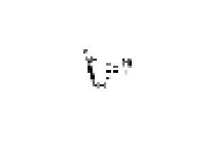 SS.[Co].[Ni]